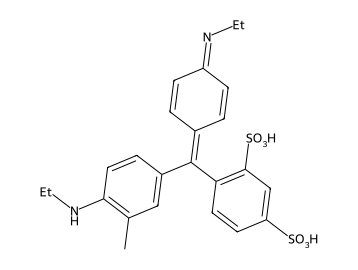 CCN=C1C=CC(=C(c2ccc(NCC)c(C)c2)c2ccc(S(=O)(=O)O)cc2S(=O)(=O)O)C=C1